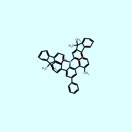 Cc1ccccc1-c1cc(-c2ccccc2)cc(-c2ccccc2C)c1N(c1ccc2c(c1)C(C)(C)c1ccccc1-2)c1ccc2c(c1)C(C)(C)c1ccccc1-2